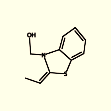 CC=C1Sc2ccccc2N1CO